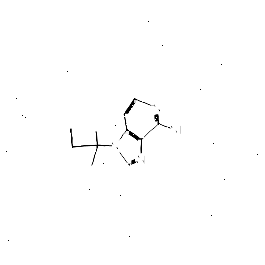 CCC(C)(C)n1cnc2c(N)nccc21